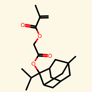 C=C(C)C(=O)OCC(=O)OC1(C(C)C)C2CC3CC1CC(C)(C3)C2